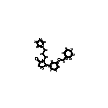 O=C1CSC(c2cccc(OCc3ccccc3)c2)N1CCCn1ccnc1